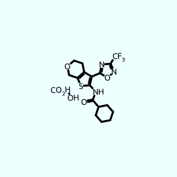 O=C(Nc1sc2c(c1-c1nc(C(F)(F)F)no1)CCOC2)C1CCCCC1.O=C(O)O